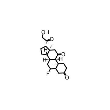 C[C@]12CC(=O)[C@H]3[C@@H](CC(F)C4CC(=O)CC[C@@]43C)[C@@H]1CC[C@@H]2C(=O)CO